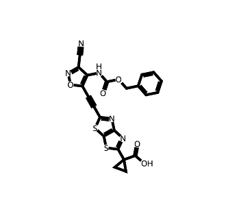 N#Cc1noc(C#Cc2nc3nc(C4(C(=O)O)CC4)sc3s2)c1NC(=O)OCc1ccccc1